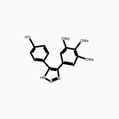 COc1cc(-c2nn[nH]c2-c2ccc(O)cc2)cc(OC)c1OC